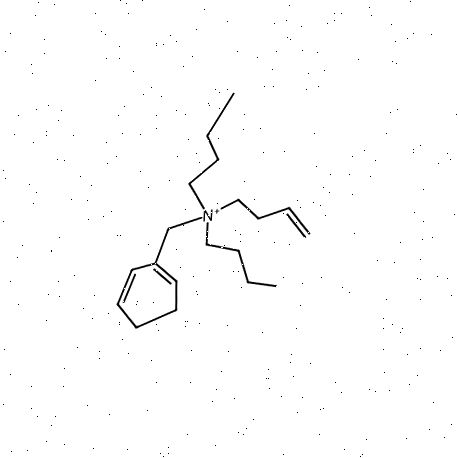 C=CCC[N+](CCCC)(CCCC)CC1=CCCC=C1